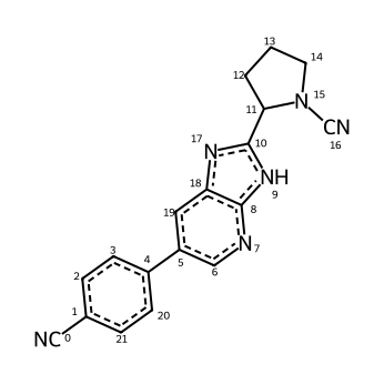 N#Cc1ccc(-c2cnc3[nH]c(C4CCCN4C#N)nc3c2)cc1